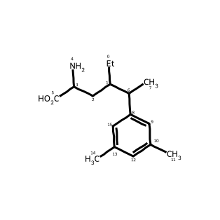 CCC(CC(N)C(=O)O)C(C)c1cc(C)cc(C)c1